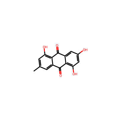 Cc1cc(O)c2c(c1)C(=O)c1c(O)cc(O)cc1C2=O